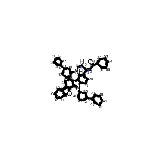 C=C(/C=C(\C=C/Nc1cccc(-c2ccccc2)c1)c1ccc2c(c1)c1ccc3c4ccccc4oc3c1n2-c1cccc(-c2ccccc2)c1)c1ccccc1